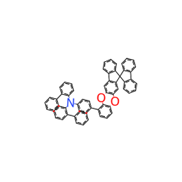 c1ccc(-c2ccccc2N(c2ccc(-c3cccc4c3Oc3cc5c(cc3O4)C3(c4ccccc4-c4ccccc43)c3ccccc3-5)cc2)c2ccccc2-c2ccccc2)cc1